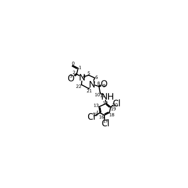 C=CC(=O)N1CCN(C(=O)CNc2cc(Cl)c(Cl)cc2Cl)CC1